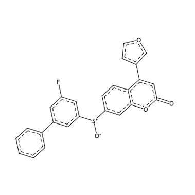 O=c1cc(-c2ccoc2)c2ccc([S+]([O-])c3cc(F)cc(-c4ccccc4)c3)cc2o1